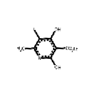 CCOC(=O)c1c(O)nc(C)c(I)c1O